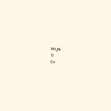 P.[Cu].[Ni].[Ti]